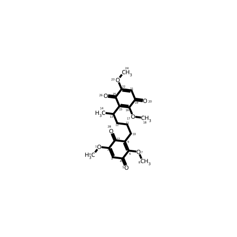 COC1=CC(=O)C(OC)=C(CCCC(C)C2=C(OC)C(=O)C=C(OC)C2=O)C1=O